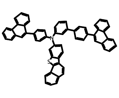 c1cc(-c2ccc(-c3cc4ccccc4c4ccccc34)cc2)cc(N(c2ccc(-c3cc4ccccc4c4ccccc34)cc2)c2ccc3c(c2)sc2c4ccccc4ccc32)c1